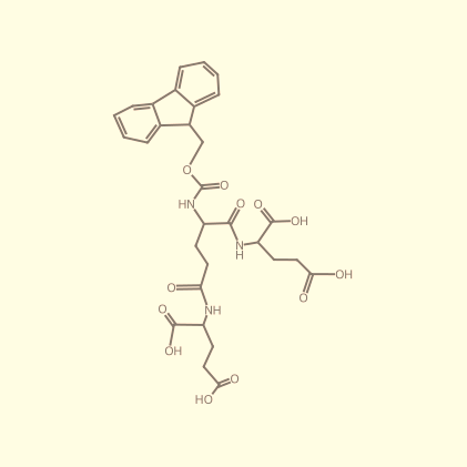 O=C(O)CCC(NC(=O)CCC(NC(=O)OCC1c2ccccc2-c2ccccc21)C(=O)NC(CCC(=O)O)C(=O)O)C(=O)O